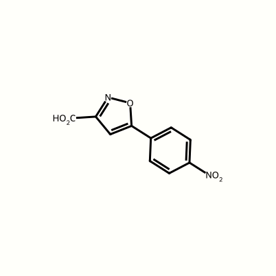 O=C(O)c1cc(-c2ccc([N+](=O)[O-])cc2)on1